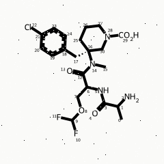 CC(N)C(=O)NC(COC(F)F)C(=O)N(C)[C@@]1(Cc2ccc(Cl)cc2)CCCN(C(=O)O)C1